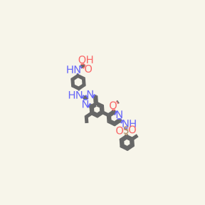 CCc1cc(-c2ccc(NS(=O)(=O)c3ccccc3C)nc2OC)cc2cnc(N[C@H]3CC[C@H](NC(=O)O)CC3)nc12